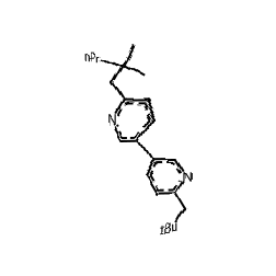 CCCC(C)(C)Cc1ccc(-c2ccc(CC(C)(C)C)nc2)cn1